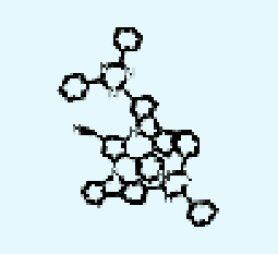 N#Cc1cc(-n2c3ccccc3c3ccc(-c4nc(-c5ccccc5)nc(-c5ccccc5)n4)cc32)c(-c2ccncc2)c(-n2c3ccccc3c3ccc(-c4nc(-c5ccccc5)nc(-c5ccccc5)n4)cc32)c1